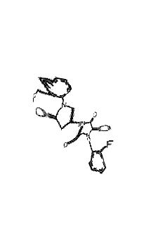 O=C1CC(N2C(=O)C(=O)N(c3ccccc3F)C2=O)CN1c1ccccc1F